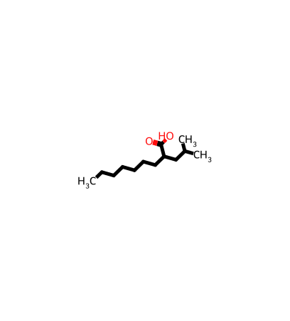 CCCCCCCC(CC(C)C)C(=O)O